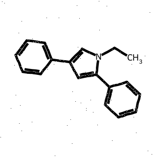 CCn1cc(-c2ccccc2)cc1-c1ccccc1